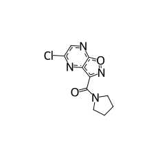 O=C(c1noc2ncc(Cl)nc12)N1CCCC1